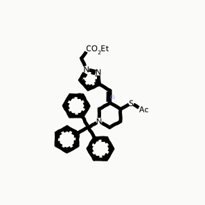 CCOC(=O)Cn1ccc(/C=C2\CN(C(c3ccccc3)(c3ccccc3)c3ccccc3)CCC2SC(C)=O)n1